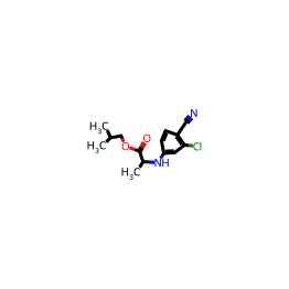 CC(C)COC(=O)C(C)Nc1ccc(C#N)c(Cl)c1